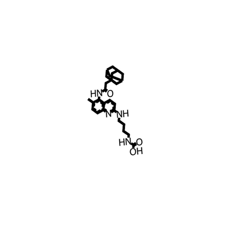 Cc1ccc2nc(NCCCCNC(=O)O)ccc2c1NC(=O)CC12CC3CC(CC(C3)C1)C2